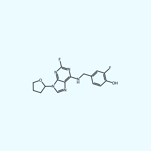 Oc1ccc(CNc2nc(F)nc3c2ncn3C2CCCO2)cc1F